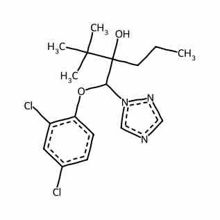 CCCC(O)(C(Oc1ccc(Cl)cc1Cl)n1cncn1)C(C)(C)C